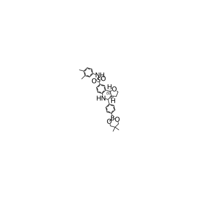 Cc1ccc(NS(=O)(=O)c2ccc3c(c2)[C@H]2OCC[C@H]2C(c2ccc(B4OCC(C)(C)CO4)cc2)N3)cc1C